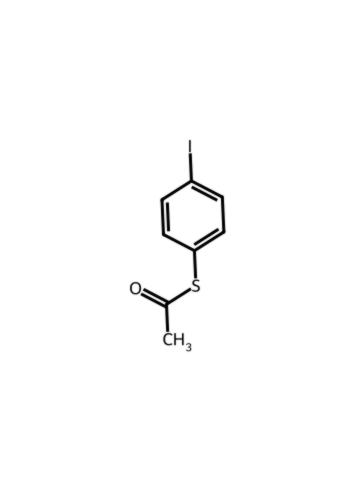 CC(=O)Sc1ccc(I)cc1